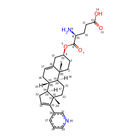 C[C@]12CC[C@H](OC(=O)[C@@H](N)CCC(=O)O)CC1=CC[C@@H]1[C@@H]2CC[C@]2(C)C(c3cccnc3)=CC[C@@H]12